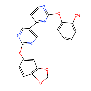 Oc1ccccc1Oc1nccc(-c2[c]nc(Oc3ccc4c(c3)OCO4)nc2)n1